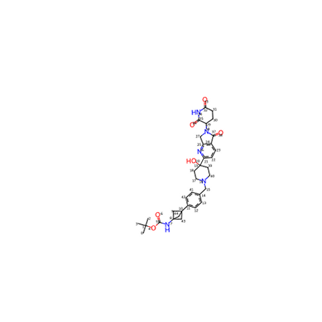 CC(C)(C)OC(=O)NC12CC(c3ccc(CN4CCC(O)(c5ccc6c(n5)CN(C5CCC(=O)NC5=O)C6=O)CC4)cc3)(C1)C2